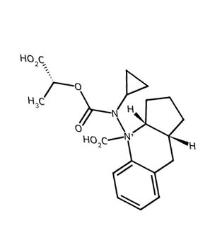 C[C@@H](OC(=O)N(C1CC1)[N+]1(C(=O)O)c2ccccc2C[C@H]2CCC[C@H]21)C(=O)O